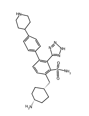 NS(=O)(=O)c1c(C[C@H]2CC[C@@H](N)CC2)ccc(-c2ccc(C3CCNCC3)cc2)c1-c1nn[nH]n1